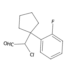 O=CC(Cl)C1(c2ccccc2F)CCCC1